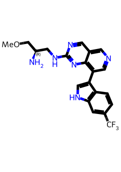 COC[C@H](N)CNc1ncc2cncc(-c3c[nH]c4cc(C(F)(F)F)ccc34)c2n1